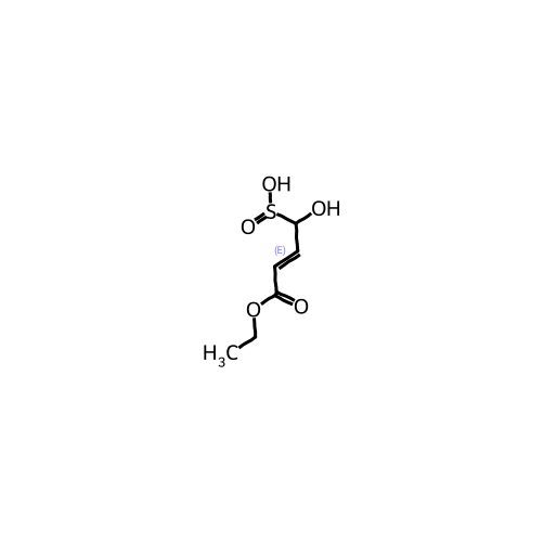 CCOC(=O)/C=C/C(O)S(=O)O